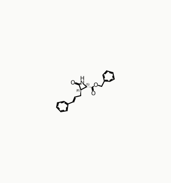 O=C(OCc1ccccc1)[C@H]1NC(=O)[C@@H]1CC=Cc1ccccc1